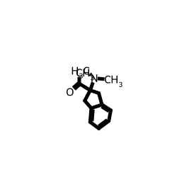 CC(=O)C1(N(C)C)Cc2ccccc2C1